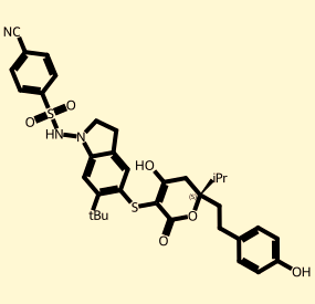 CC(C)[C@]1(CCc2ccc(O)cc2)CC(O)=C(Sc2cc3c(cc2C(C)(C)C)N(NS(=O)(=O)c2ccc(C#N)cc2)CC3)C(=O)O1